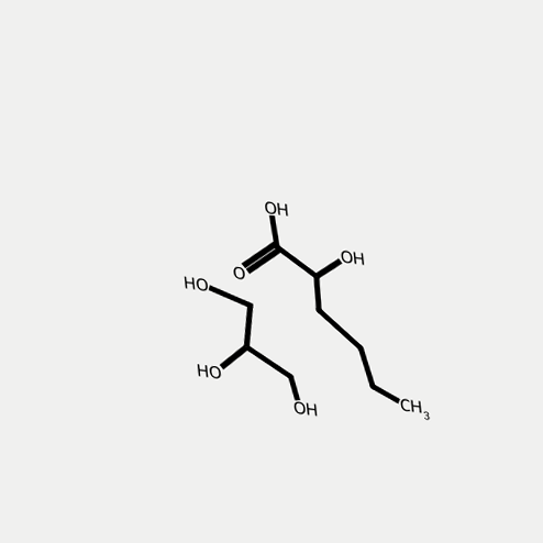 CCCCC(O)C(=O)O.OCC(O)CO